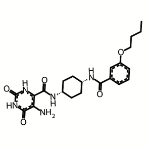 CCCCOc1cccc(C(=O)N[C@H]2CC[C@@H](NC(=O)c3[nH]c(=O)[nH]c(=O)c3N)CC2)c1